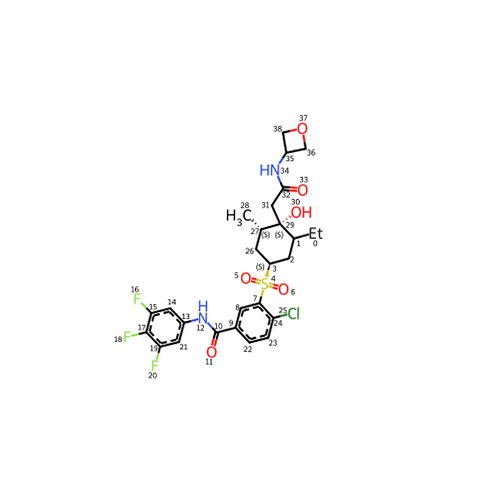 CCC1C[C@@H](S(=O)(=O)c2cc(C(=O)Nc3cc(F)c(F)c(F)c3)ccc2Cl)C[C@H](C)[C@@]1(O)CC(=O)NC1COC1